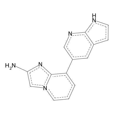 Nc1cn2cccc(-c3cnc4[nH]ccc4c3)c2n1